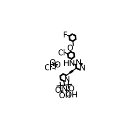 CC(C)(C)C(c1cccc(C#Cc2cncnc2Nc2ccc(OCc3cccc(F)c3)c(Cl)c2)n1)(N(C(=O)O)C(=O)O)C(C)(C)C.CS(=O)(=O)Cl